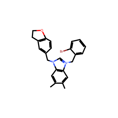 Cc1cc2c(cc1C)[n+](Cc1ccccc1Br)cn2Cc1ccc2c(c1)CCO2